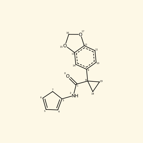 O=C(NC1=CC=CC1)C1(c2ccc3c(c2)OCO3)CC1